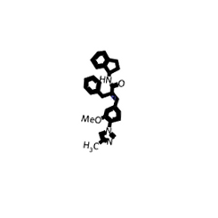 COc1cc(/C=C(\Cc2ccccc2)C(=O)NC2CCc3ccccc32)ccc1-n1cnc(C)c1